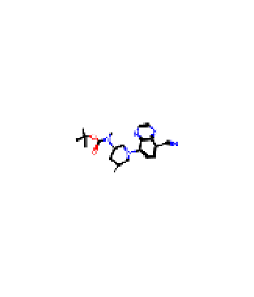 C[C@H]1C[C@@H](N(C)C(=O)OC(C)(C)C)CN(c2ccc(C#N)c3nccnc23)C1